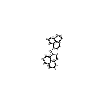 C1=CC(SC2C=Cc3cccc4cccc2c34)c2cccc3cccc1c23